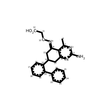 Cc1nc(N)nc2c1C(=NOCC(=O)O)CC(c1ccccc1-c1ccccc1)C2